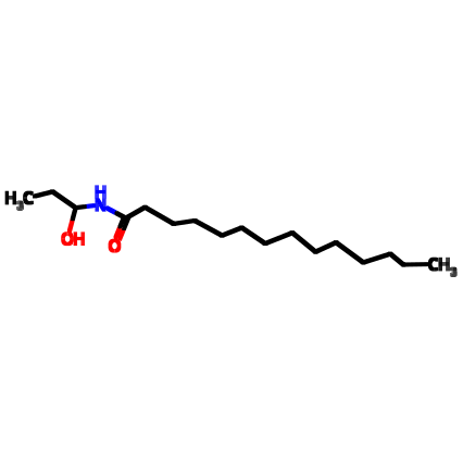 CCCCCCCCCCCCCC(=O)NC(O)CC